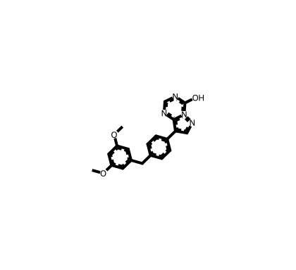 COc1cc(Cc2ccc(-c3cnn4c(O)ncnc34)cc2)cc(OC)c1